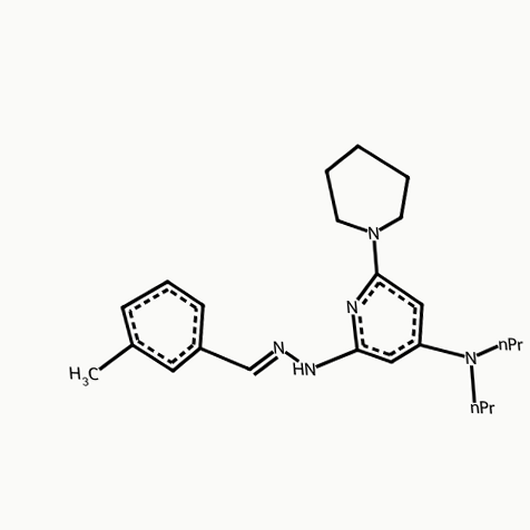 CCCN(CCC)c1cc(N/N=C/c2cccc(C)c2)nc(N2CCCCC2)c1